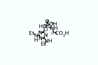 CCNc1nc(Cl)nc(NCC)n1.O=C(O)CNCP(=O)(O)O